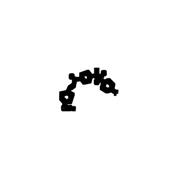 COc1ccc(C=CC(=O)c2ccc(NS(=O)(=O)c3ccc(F)cc3)cc2)cc1